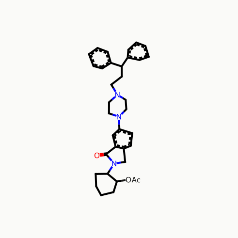 CC(=O)OC1CCCCC1N1Cc2ccc(N3CCN(CCC(c4ccccc4)c4ccccc4)CC3)cc2C1=O